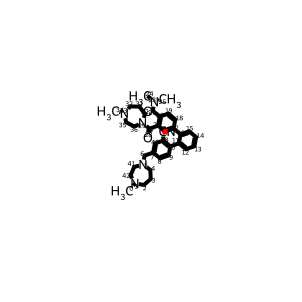 CN1CCCN(Cc2ccc(-c3ccccc3-c3ccc(C(=O)N(C)C)c(C(=O)N4CCCN(C)CC4)c3)c(C#N)c2)CC1